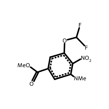 CNc1cc(C(=O)OC)cc(OC(F)F)c1[N+](=O)[O-]